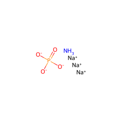 N.O=P([O-])([O-])[O-].[Na+].[Na+].[Na+]